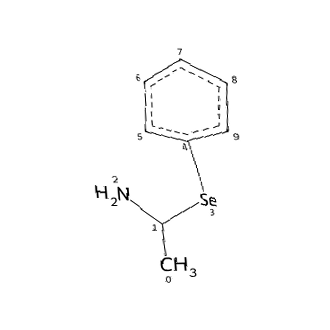 CC(N)[Se]c1ccccc1